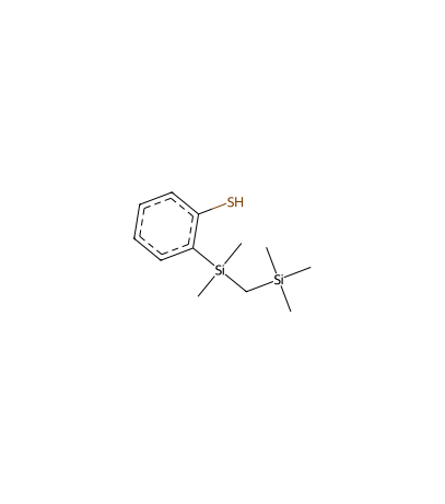 C[Si](C)(C)C[Si](C)(C)c1ccccc1S